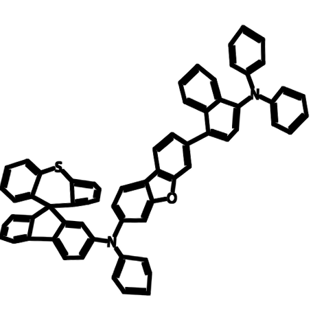 c1ccc(N(c2ccc3c(c2)C2(c4ccccc4Sc4ccccc42)c2ccccc2-3)c2ccc3c(c2)oc2cc(-c4ccc(N(c5ccccc5)c5ccccc5)c5ccccc45)ccc23)cc1